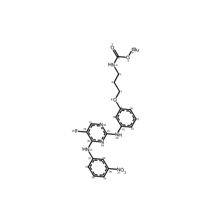 CC(C)(C)OC(=O)NCCCOc1cccc(Nc2ncc(F)c(Nc3cccc([N+](=O)[O-])c3)n2)c1